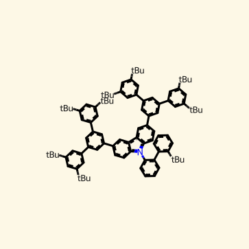 CC(C)(C)c1cc(-c2cc(-c3cc(C(C)(C)C)cc(C(C)(C)C)c3)cc(-c3ccc4c(c3)c3cc(-c5cc(-c6cc(C(C)(C)C)cc(C(C)(C)C)c6)cc(-c6cc(C(C)(C)C)cc(C(C)(C)C)c6)c5)ccc3n4-c3ccccc3-c3ccccc3C(C)(C)C)c2)cc(C(C)(C)C)c1